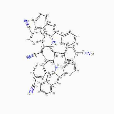 N#Cc1ccc(-c2c(C#N)c(-c3ccc(C#N)cc3)c(-n3c4ccccc4c4cc5ccccc5cc43)c(-c3ccc(C#N)cc3)c2-n2c3ccccc3c3cc4ccccc4cc32)cc1